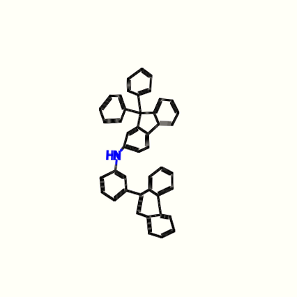 c1ccc(C2(c3ccccc3)c3ccccc3-c3ccc(Nc4cccc(-c5cc6ccccc6c6ccccc56)c4)cc32)cc1